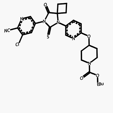 CC(C)(C)OC(=O)N1CCC(Oc2ccc(N3C(=S)N(c4cnc(C#N)c(Cl)c4)C(=O)C34CCC4)cn2)CC1